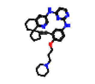 COc1cc(Nc2nccc(Nc3cnc4c(c3)CCCC43CCCC3)n2)ccc1OCCCN1CCCCC1